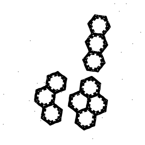 c1cc2ccc3cccc4ccc(c1)c2c34.c1ccc2c(c1)ccc1ccccc12.c1ccc2cc3ccccc3cc2c1